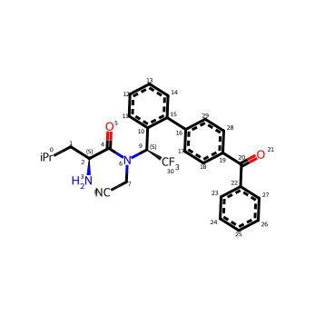 CC(C)C[C@H](N)C(=O)N(CC#N)[C@@H](c1ccccc1-c1ccc(C(=O)c2ccccc2)cc1)C(F)(F)F